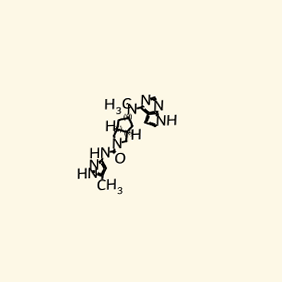 Cc1cc(NC(=O)N2C[C@H]3C[C@H](N(C)c4ncnc5[nH]ccc45)C[C@H]3C2)n[nH]1